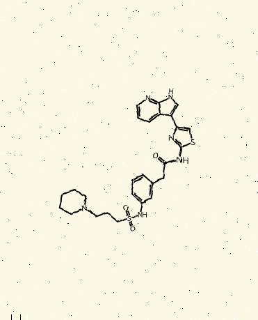 O=C(Cc1cccc(NS(=O)(=O)CCCN2CCCCC2)c1)Nc1nc(-c2c[nH]c3ncccc23)cs1